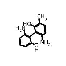 Cc1ccc(N)c(-c2c(N)cccc2O)c1O